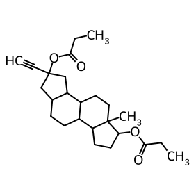 C#CC1(OC(=O)CC)CC2CCC3C(CCC4(C)C(OC(=O)CC)CCC34)C2C1